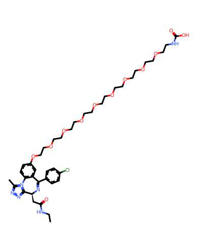 CCNC(=O)C[C@@H]1N=C(c2ccc(Cl)cc2)c2cc(OCCOCCOCCOCCOCCOCCOCCOCCOCCNC(=O)O)ccc2-n2c(C)nnc21